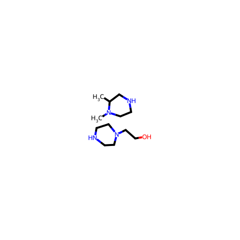 CC1CNCCN1C.OCCN1CCNCC1